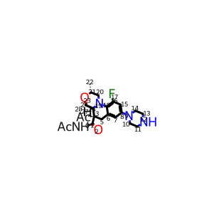 CC(=O)NC(=O)[C@]1(C(C)=O)Cc2cc(N3CCNCC3)cc(F)c2N2C[C@@H](C)O[C@@H](C)[C@@H]21